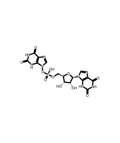 O=c1[nH]c(=O)c2ncn(OP(=O)(O)OC[C@H]3O[C@@H](n4cnc5c(=O)[nH]c(=O)[nH]c54)[C@H](O)[C@@H]3O)c2[nH]1